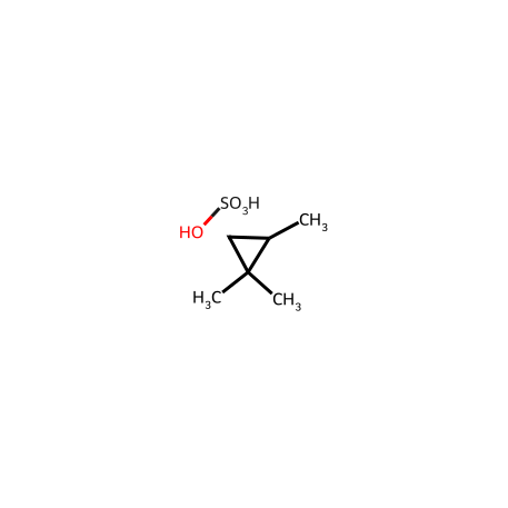 CC1CC1(C)C.O=S(=O)(O)O